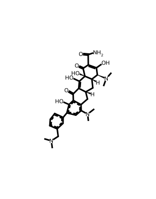 CN(C)Cc1cccc(-c2cc(N(C)C)c3c(c2O)C(=O)C2=C(O)[C@]4(O)C(=O)C(C(N)=O)=C(O)[C@@H](N(C)C)[C@@H]4C[C@@H]2C3)c1